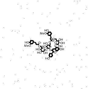 COc1cc(/C=C/C(=O)OCC2O[C@@H](OC3[C@H](Oc4cc5c(O[C@@H]6OC(CO)[C@@H](O)[C@H](O)C6O)cc(O)cc5[o+]c4-c4ccc(O)cc4)OC(COC(=O)/C=C/c4ccc(O)c(OC)c4)[C@@H](O)[C@@H]3O)C(O)[C@@H](O)[C@@H]2O)ccc1O